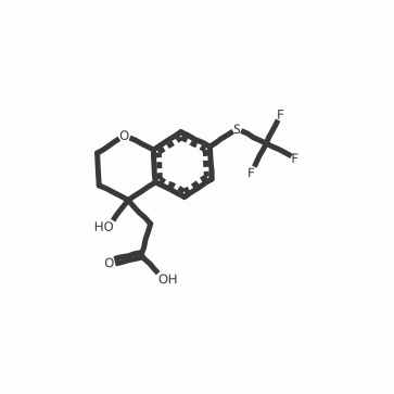 O=C(O)CC1(O)CCOc2cc(SC(F)(F)F)ccc21